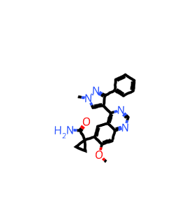 COc1cc2ncnc(-c3cn(C)nc3-c3ccccc3)c2cc1C1(C(N)=O)CC1